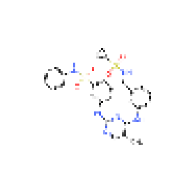 Cc1cnc(Nc2cccc(S(=O)(=O)Nc3ccccc3)c2)nc1Nc1cccc(CNS(=O)(=O)C2CC2)c1